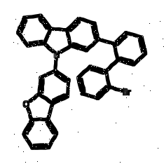 Brc1ccccc1-c1ccccc1-c1ccc2c3ccccc3n(-c3ccc4c(c3)oc3ccccc34)c2c1